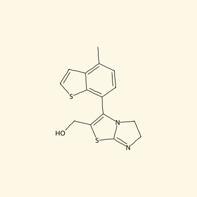 Cc1ccc(C2=C(CO)SC3=NCCN32)c2sccc12